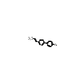 CC(=O)c1ccc(-c2ccc(C=CC(=O)O)cc2)cc1